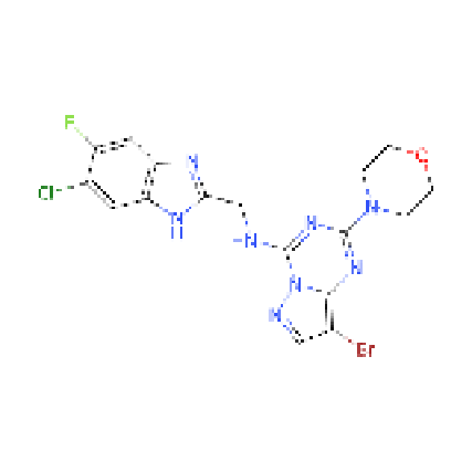 Fc1cc2nc(CNc3nc(N4CCOCC4)nc4c(Br)cnn34)[nH]c2cc1Cl